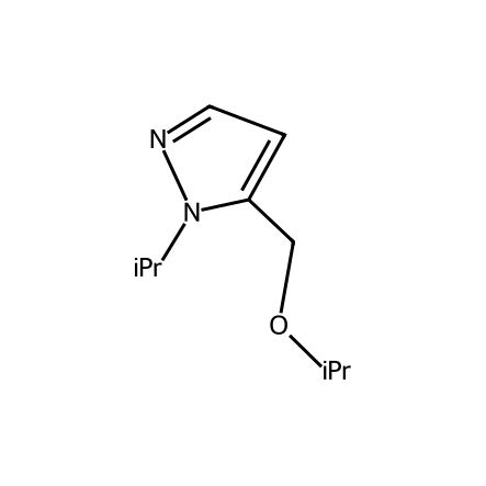 CC(C)OCc1ccnn1C(C)C